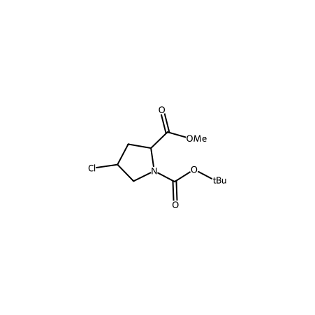 COC(=O)C1CC(Cl)CN1C(=O)OC(C)(C)C